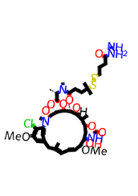 COc1cc2cc(c1Cl)N(C)C(=O)CC(OC(=O)[C@H](C)N(C)C(=O)CCC(C)(C)SSCCCC(=O)NN)[C@@]1(C)O[C@@H]1C(C)C1CC(O)(NC(=O)O1)C(OC)/C=C/C=C(\C)C2